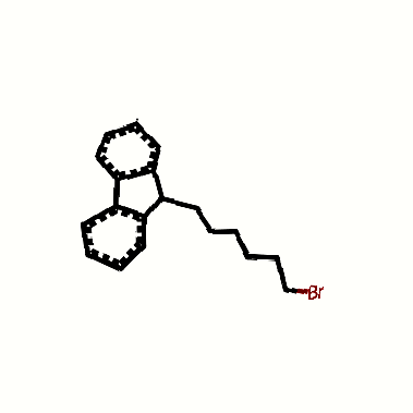 BrCCCCCCC1c2c[c]ccc2-c2ccccc21